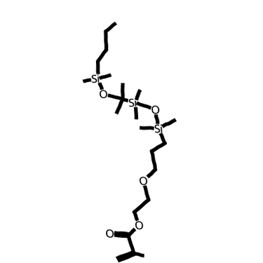 C=C(C)C(=O)OCCOCCC[Si](C)(C)O[Si](C)(C)C(C)(C)O[Si](C)(C)CCCC